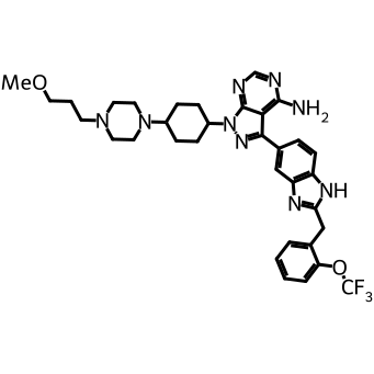 COCCCN1CCN(C2CCC(n3nc(-c4ccc5[nH]c(Cc6ccccc6OC(F)(F)F)nc5c4)c4c(N)ncnc43)CC2)CC1